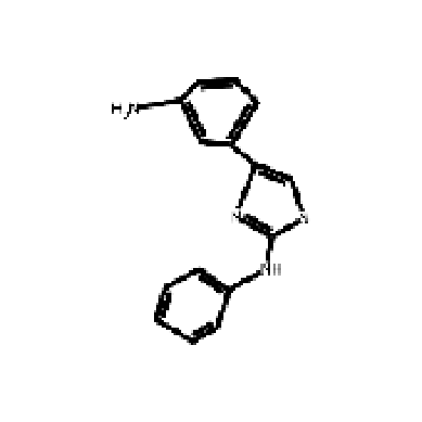 Nc1cccc(-c2csc(Nc3ccccc3)n2)c1